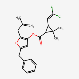 C=C(C)Cc1oc(Cc2ccccc2)cc1OC(=O)C1C(C=C(Cl)Cl)C1(C)C